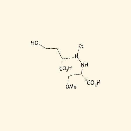 CCN(N[C@@H](COC)C(=O)O)[C@@H](CCO)C(=O)O